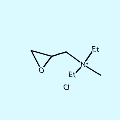 CC[N+](C)(CC)CC1CO1.[Cl-]